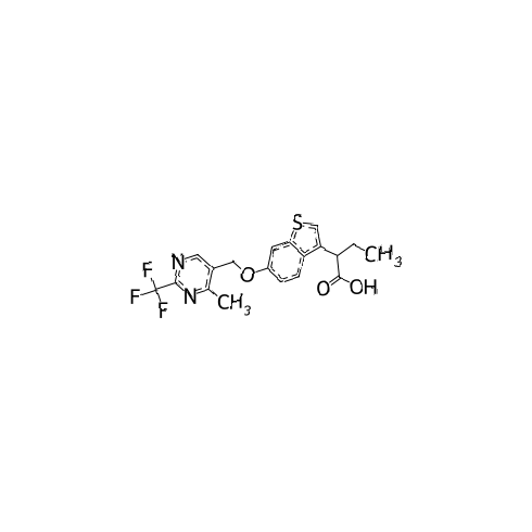 CCC(C(=O)O)c1csc2cc(OCc3cnc(C(F)(F)F)nc3C)ccc12